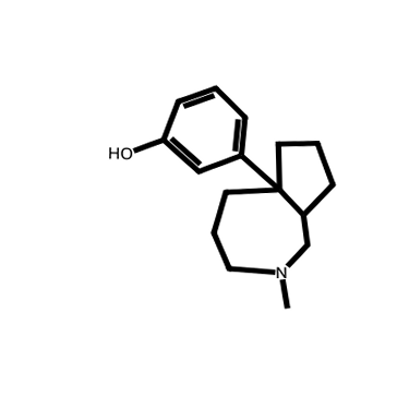 CN1CCCC2(c3cccc(O)c3)CCCC2C1